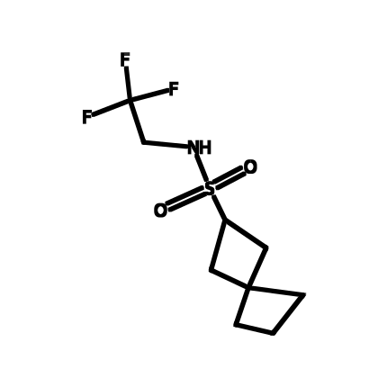 O=S(=O)(NCC(F)(F)F)C1CC2(CCC2)C1